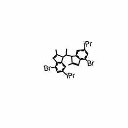 CC1=Cc2c(Br)cc(C(C)C)cc2C1C(C)C1C(C)=Cc2c(Br)cc(C(C)C)cc21